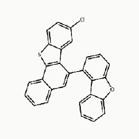 Clc1ccc2sc3c4ccccc4cc(-c4cccc5oc6ccccc6c45)c3c2c1